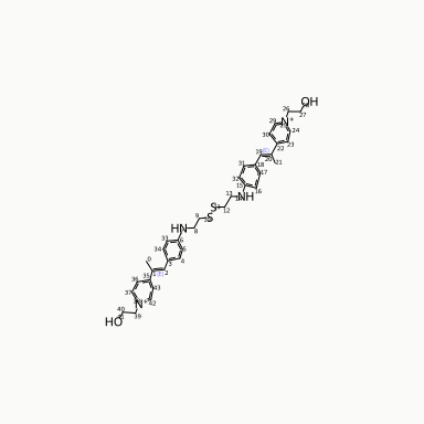 C/C(=C\c1ccc(NCCSSCCNc2ccc(/C=C(\C)c3cc[n+](CCO)cc3)cc2)cc1)c1cc[n+](CCO)cc1